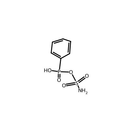 NS(=O)(=O)OP(=O)(O)c1ccccc1